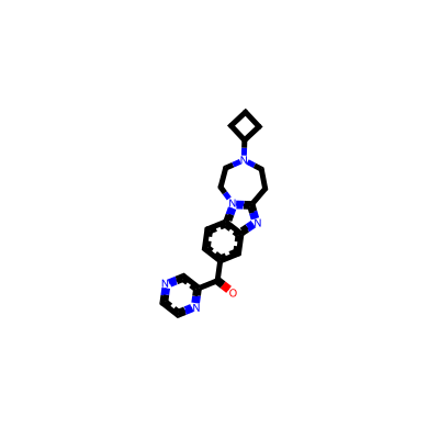 O=C(c1ccc2c(c1)nc1n2CCN(C2CCC2)CC1)c1cnccn1